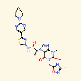 Cc1noc(CN2C(=O)c3c(ncn3[C@@H](C)C(=O)Nc3csc(-c4cnc(N5CC6CC6C5)nc4)n3)N(C)C2O)n1